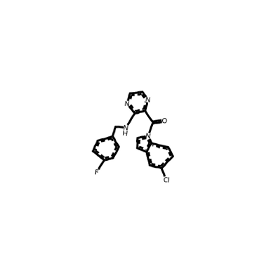 O=C(c1nccnc1NCc1ccc(F)cc1)n1ccc2cc(Cl)ccc21